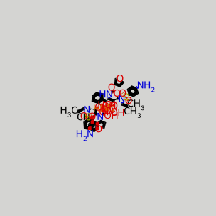 CC(C)CN(C[C@H](O[PH](O)(O)O[PH](O)(O)O[C@H](CN(CC(C)C)S(=O)(=O)c1ccc(N)cc1)[C@H](Cc1ccccc1)NC(=O)O[C@H]1CCOC1)[C@H](Cc1ccccc1)N(C(=O)O)[C@H]1CCOC1)S(=O)(=O)c1ccc(N)cc1